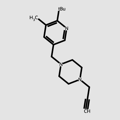 C#CCN1CCN(Cc2cnc(C(C)(C)C)c(C)c2)CC1